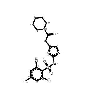 O=C(Cc1csc(NS(=O)(=O)c2c(Cl)cc(Cl)cc2Cl)n1)N1CCCCC1